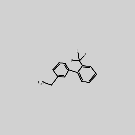 NCc1cccc(-c2ccccc2C(F)(F)F)c1